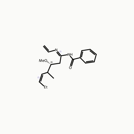 C=C/N=C(\C[C@@H](OC)C(C)/C=C\CC)NC(=O)c1ccccc1